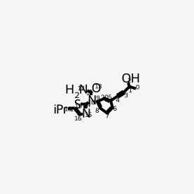 CC(O)C#Cc1cccc(N(C(N)=O)c2ncc(C(C)C)s2)c1